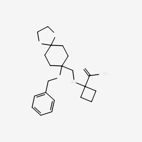 COC(=O)C1(NCC2(OCc3ccccc3)CCC3(CC2)OCCO3)CCC1